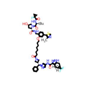 Cc1ncsc1-c1ccc(CNC(=O)[C@@H]2C[C@@H](O)CN2C(=O)[C@@H](NC(=O)C2(F)CC2)C(C)(C)C)c(OCCCCCCCC(=O)N2CC([C@@H](c3ccccc3)n3cc(NC(=O)c4n[nH]c5c4C[C@@H]4C(F)(F)[C@]4(C)C5)cn3)C2)c1